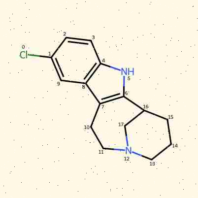 Clc1ccc2[nH]c3c(c2c1)CCN1CCCC3C1